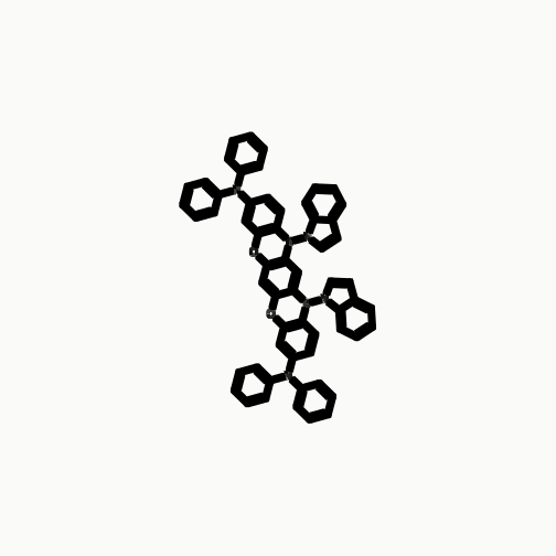 c1ccc(N(c2ccccc2)c2ccc3c(c2)Oc2cc4c(cc2B3n2ccc3ccccc32)B(n2ccc3ccccc32)c2ccc(N(c3ccccc3)c3ccccc3)cc2O4)cc1